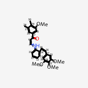 COc1cc(C(=O)/C=C\Nc2ccccc2/C=C\c2cc(OC)c(OC)c(OC)c2)cc(C)c1C